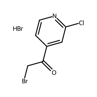 Br.O=C(CBr)c1ccnc(Cl)c1